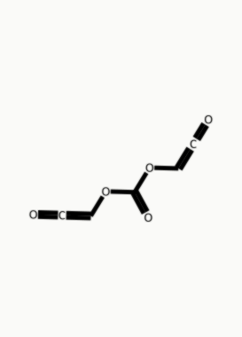 O=C=COC(=O)OC=C=O